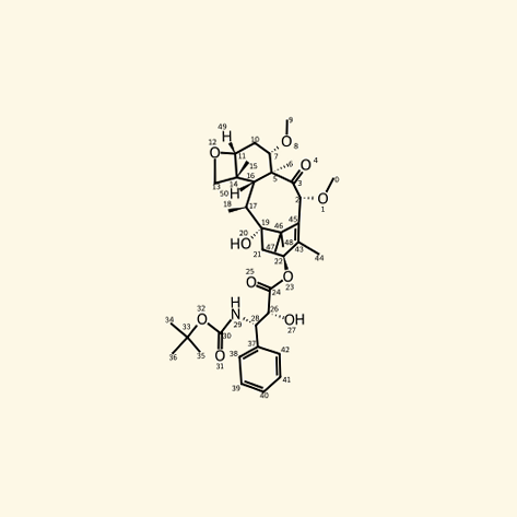 CO[C@H]1C(=O)[C@]2(C)[C@@H](OC)C[C@H]3OC[C@@]3(C)[C@H]2[C@H](C)[C@]2(O)C[C@H](OC(=O)[C@H](O)[C@@H](NC(=O)OC(C)(C)C)c3ccccc3)C(C)=C1C2(C)C